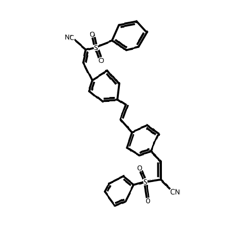 N#CC(=Cc1ccc(C=Cc2ccc(C=C(C#N)S(=O)(=O)c3ccccc3)cc2)cc1)S(=O)(=O)c1ccccc1